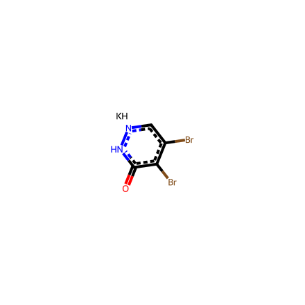 O=c1[nH]ncc(Br)c1Br.[KH]